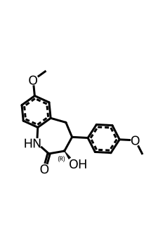 COc1ccc(C2Cc3cc(OC)ccc3NC(=O)[C@@H]2O)cc1